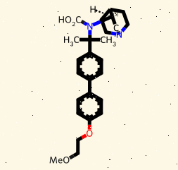 COCCOc1ccc(-c2ccc(C(C)(C)N(C(=O)O)[C@@H]3CN4CCC3CC4)cc2)cc1